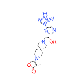 CC1=C(N2CCC3(CCN(C[C@@H](O)c4cncc(N5C=NNN5)n4)CC3)CC2)COC1=O